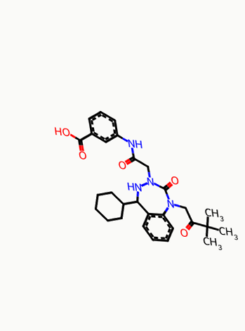 CC(C)(C)C(=O)CN1C(=O)N(CC(=O)Nc2cccc(C(=O)O)c2)NC(C2CCCCC2)c2ccccc21